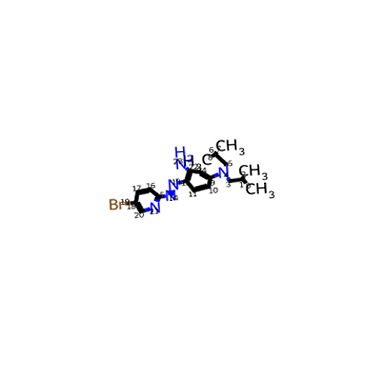 CC(C)CN(CC(C)C)c1ccc(N=Nc2ccc(Br)cn2)c(N)c1